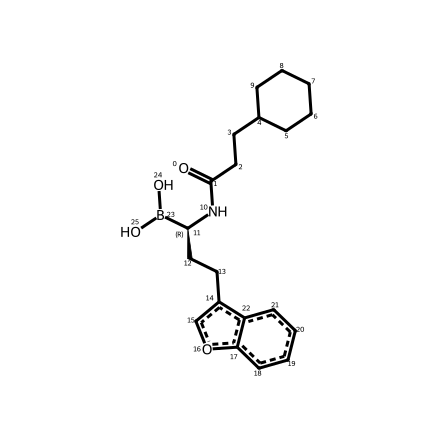 O=C(CCC1CCCCC1)N[C@@H](CCc1coc2ccccc12)B(O)O